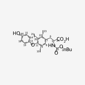 CCCCOC(=O)NC(Cc1cc(I)c(Oc2ccc(O)cc2)c(I)c1I)C(=O)O